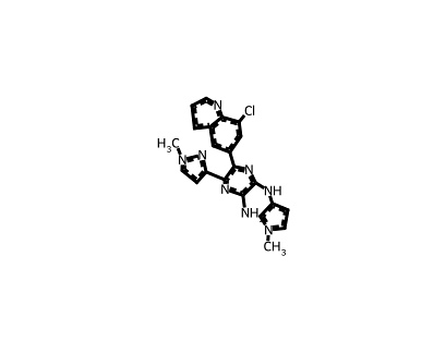 Cn1ccc(Nc2nc(-c3cc(Cl)c4ncccc4c3)c(-c3ccn(C)n3)nc2N)c1